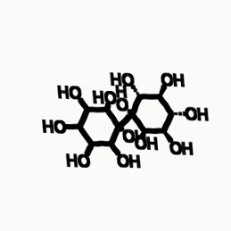 OC1C(O)C(O)C(O)([C@]2(O)[C@H](O)[C@H](O)[C@@H](O)[C@H](O)[C@H]2O)C(O)C1O